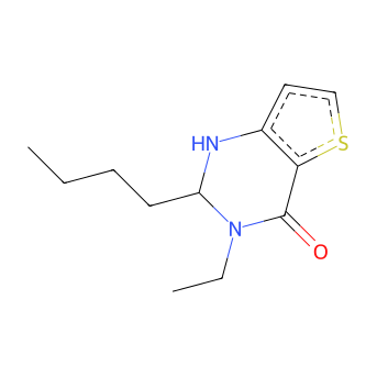 CCCCC1Nc2ccsc2C(=O)N1CC